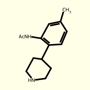 CC(=O)Nc1cc(C)ccc1C1CCNCC1